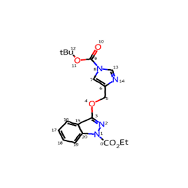 CCOC(=O)n1nc(OCc2cn(C(=O)OC(C)(C)C)cn2)c2ccccc21